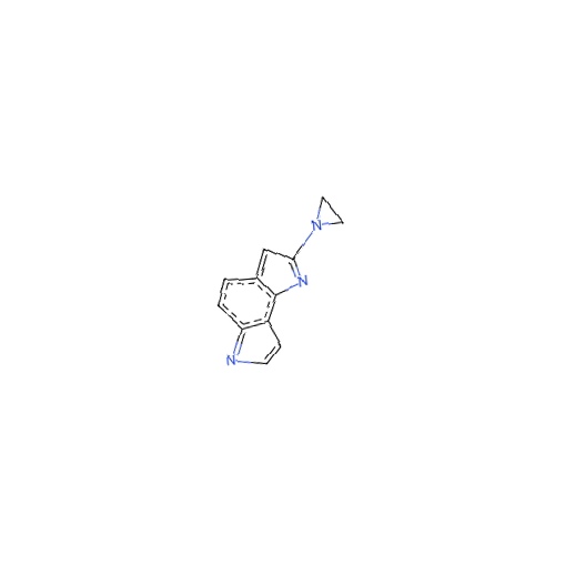 C1=Cc2c3c(ccc2=N1)=CC(N1CC1)=N3